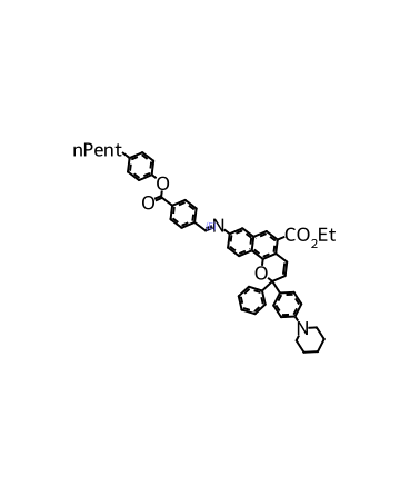 CCCCCc1ccc(OC(=O)c2ccc(/C=N/c3ccc4c5c(c(C(=O)OCC)cc4c3)C=CC(c3ccccc3)(c3ccc(N4CCCCC4)cc3)O5)cc2)cc1